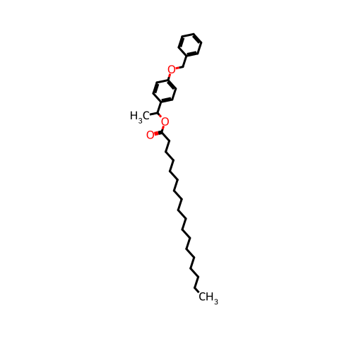 CCCCCCCCCCCCCCCCCC(=O)OC(C)c1ccc(OCc2ccccc2)cc1